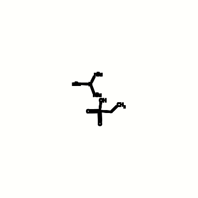 CCCCN(CCCC)CCCC.CCS(=O)(=O)O